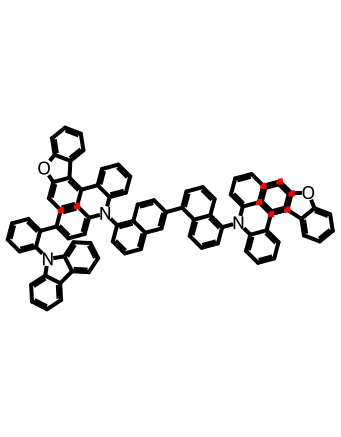 c1ccc(N(c2ccc(-c3ccccc3-n3c4ccccc4c4ccccc43)cc2)c2cccc3cc(-c4cccc5c(N(c6ccccc6-c6cccc7oc8ccccc8c67)c6cccc7ccccc67)cccc45)ccc23)c(-c2cccc3oc4ccccc4c23)c1